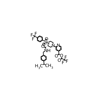 CC(C)c1ccc(CNC(=O)[C@H]2CN(c3cc(C(=O)OC(=O)C(F)(F)F)ccn3)CCN2S(=O)(=O)c2ccc(C(F)(F)F)cc2)cc1